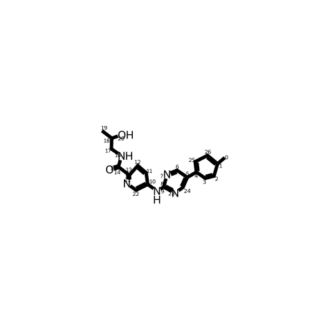 Cc1ccc(-c2cnc(Nc3ccc(C(=O)NCC(C)O)nc3)nc2)cc1